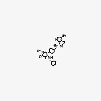 CC(C)n1cc(-c2ccc(CNc3ncnc4c3ncn4C(C)C)cc2)c(NCc2ccccc2)nc1=O